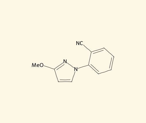 COc1ccn(-c2ccccc2C#N)n1